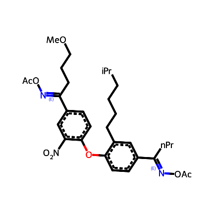 CCC/C(=N\OC(C)=O)c1ccc(Oc2ccc(/C(CCCOC)=N/OC(C)=O)cc2[N+](=O)[O-])c(CCCCC(C)C)c1